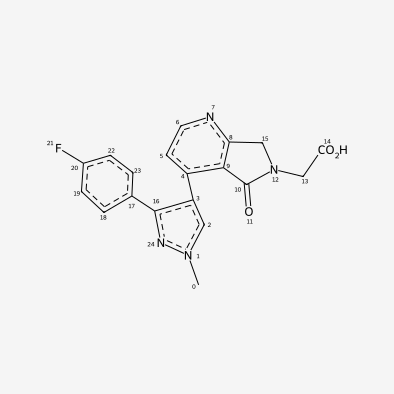 Cn1cc(-c2ccnc3c2C(=O)N(CC(=O)O)C3)c(-c2ccc(F)cc2)n1